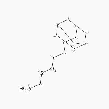 O=S(=O)(O)CSOCCC12CC3CC(CC(C3)C1)C2